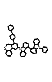 c1ccc(-c2ccc(-c3cc(-n4c5ccccc5c5c(-c6cccc7c6c6ccccc6n7-c6ccccc6)cccc54)cc4c3CCSc3ccccc3-4)cc2)cc1